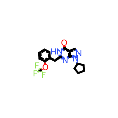 O=c1[nH]c(Cc2ccccc2OC(F)(F)F)nc2c1cnn2C1CCCC1